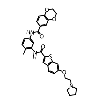 Cc1ccc(NC(=O)c2ccc3c(c2)OCCO3)cc1NC(=O)c1cc2ccc(OCCN3CCCC3)cc2s1